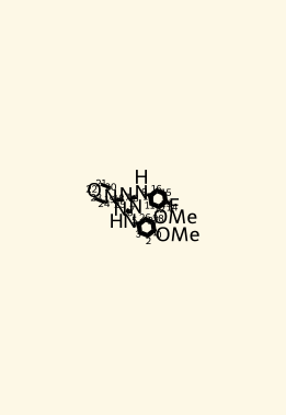 COc1ccc(Nc2nc(Nc3ccc(F)cc3)nc(N3CCOCC3)n2)cc1OC